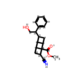 COC(=O)C12C3C4C1C1C4(C(CO)c4ccccc4)C3C12C#N